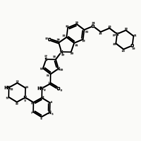 O=C(Nc1cnccc1N1CCNCC1)c1csc(N2Cc3cc(OCCN4CCOCC4)ccc3C2=O)n1